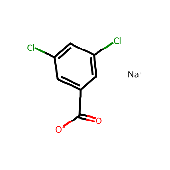 O=C([O-])c1cc(Cl)cc(Cl)c1.[Na+]